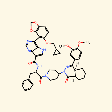 COc1ccc(C2=NN(C3CCN(C(=O)[C@@H](Cc4ccccc4)NC(=O)c4c[nH]c5c(-c6c(OCC7CC7)ccc7c6OCO7)ncnc45)CC3)C(=O)[C@@H]3CCCC[C@H]23)cc1OC